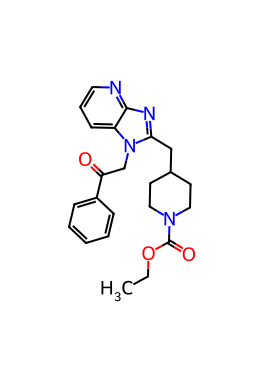 CCOC(=O)N1CCC(Cc2nc3ncccc3n2CC(=O)c2ccccc2)CC1